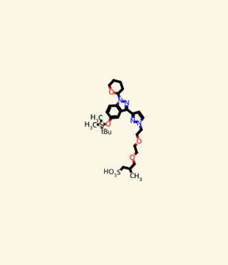 CC(COCCOCCn1ccc(-c2nn(C3CCCCO3)c3ccc(O[Si](C)(C)C(C)(C)C)cc23)n1)CS(=O)(=O)O